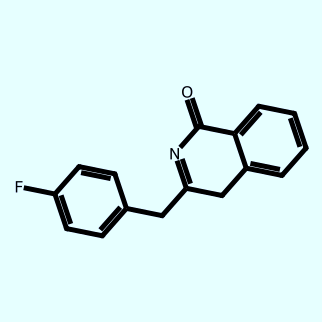 O=C1N=C(Cc2ccc(F)cc2)Cc2ccccc21